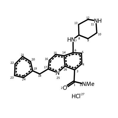 CNC(=O)c1ccc(NC2CCNCC2)c2ccc(Cc3ccccc3)nc12.Cl